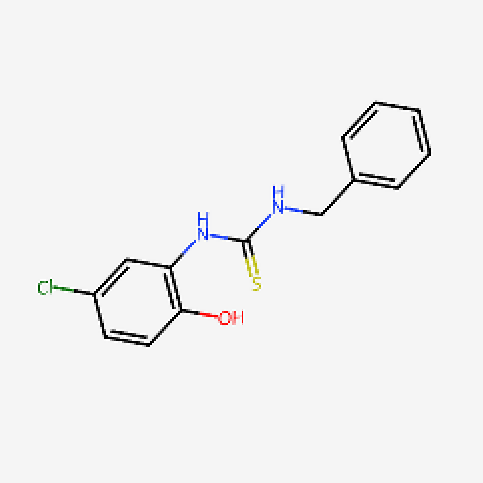 Oc1ccc(Cl)cc1NC(=S)NCc1ccccc1